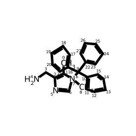 CC1=C(CN)N=C[N+]1(C)C(c1ccccc1)(c1ccccc1)c1ccccc1